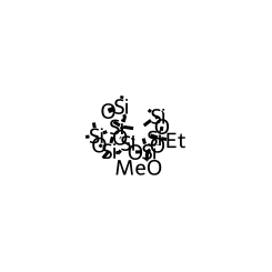 CC[Si](C)(O[Si](C)(C)C)O[Si](C)(COC)O[Si](C)(C[Si](C)(C)O[Si](C)(C)C)O[Si](C)(C)C[Si](C)=O